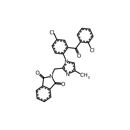 Cc1cn(-c2ccc(Cl)cc2C(=O)c2ccccc2Cl)c(CN2C(=O)c3ccccc3C2=O)n1